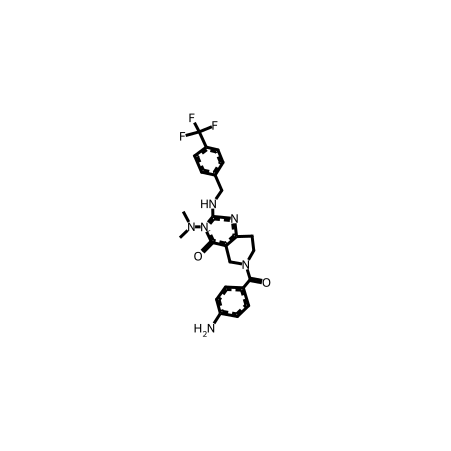 CN(C)n1c(NCc2ccc(C(F)(F)F)cc2)nc2c(c1=O)CN(C(=O)c1ccc(N)cc1)CC2